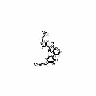 CNCc1ccc(-c2ccnc3[nH]c(-c4cnn(CCN)c4)nc23)cc1F